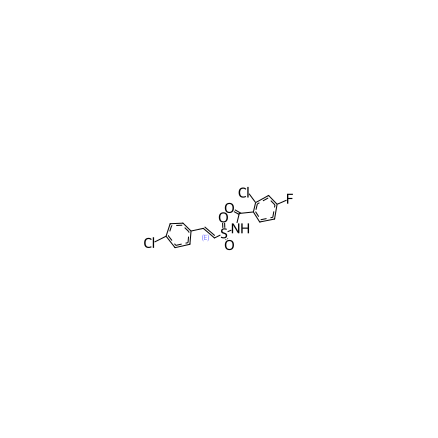 O=C(NS(=O)(=O)/C=C/c1ccc(Cl)cc1)c1ccc(F)cc1Cl